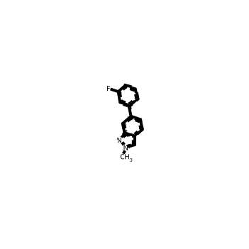 Cn1cc2ccc(-c3cccc(F)c3)cc2n1